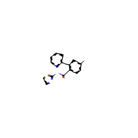 O=C(Nc1nccs1)c1ccc([N+](=O)[O-])cc1-c1ccccc1